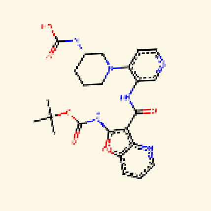 CC(C)(C)OC(=O)Nc1oc2cccnc2c1C(=O)Nc1cnccc1N1CCC[C@H](NC(=O)O)C1